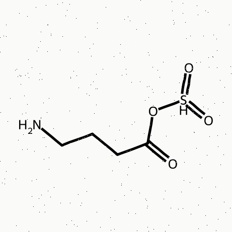 NCCCC(=O)O[SH](=O)=O